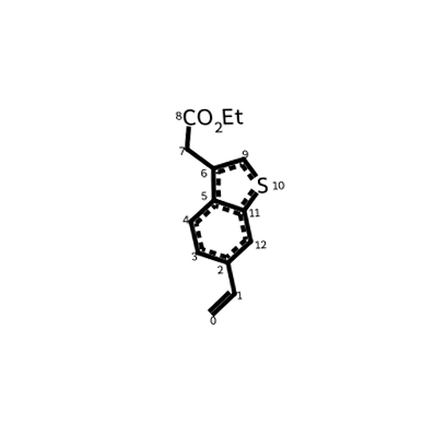 C=Cc1ccc2c(CC(=O)OCC)csc2c1